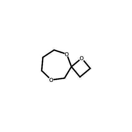 C1COCC2(CCO2)OC1